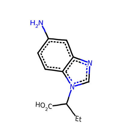 CCC(C(=O)O)n1cnc2cc(N)ccc21